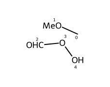 COC.O=COO